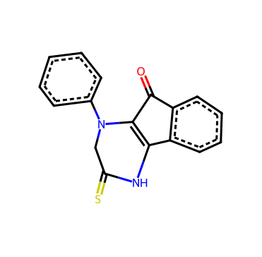 O=C1C2=C(NC(=S)CN2c2ccccc2)c2ccccc21